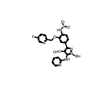 CC[S+]([O-])Nc1ccc(-c2nn(C(C)(C)C)c(Nc3ccccn3)c2C=O)cc1OCc1ccc(F)cn1